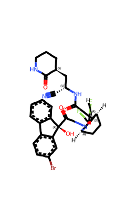 N#C[C@H](C[C@@H]1CCCNC1=O)NC(=O)[C@@H]1[C@H]2CC[C@H](CC2(F)F)N1C(=O)[C@@]1(O)c2ccccc2-c2ccc(Br)cc21